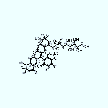 CCOC(=O)c1c(Cl)c(Cl)c(Cl)c(Cl)c1C1=c2cc3c(cc2Oc2cc4c(cc21)C(C)=CC(C)(C)N4CC)=[N+](CC)C(C)(C)C=C3CS(=O)(=O)N(C)CC(O)C(O)C(O)C(O)CO